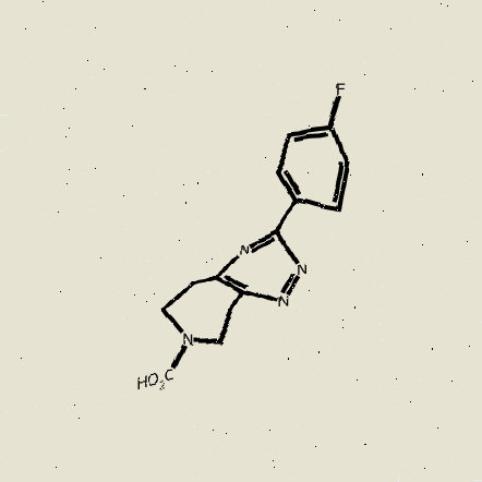 O=C(O)N1CCc2nc(-c3ccc(F)cc3)nnc2C1